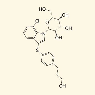 OCCCc1ccc(Sc2cn([C@@H]3O[C@H](CO)[C@@H](O)[C@H](O)[C@H]3O)c3c(Cl)cccc23)cc1